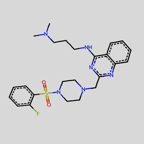 CN(C)CCCNc1nc(CN2CCN(S(=O)(=O)c3ccccc3F)CC2)nc2ccccc12